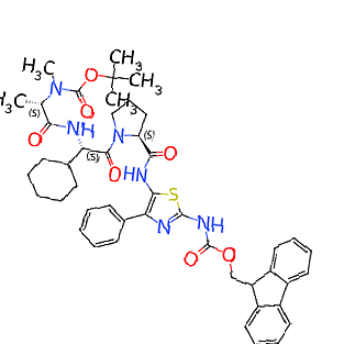 C[C@@H](C(=O)N[C@H](C(=O)N1CCC[C@H]1C(=O)Nc1sc(NC(=O)OCC2c3ccccc3-c3ccccc32)nc1-c1ccccc1)C1CCCCC1)N(C)C(=O)OC(C)(C)C